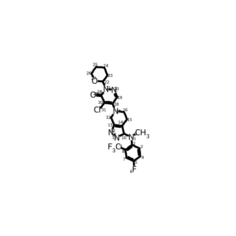 CN(c1ccc(F)cc1C(F)(F)F)C1N=NC2=C1CCN(c1cnn(C3CCCCO3)c(=O)c1Cl)C2